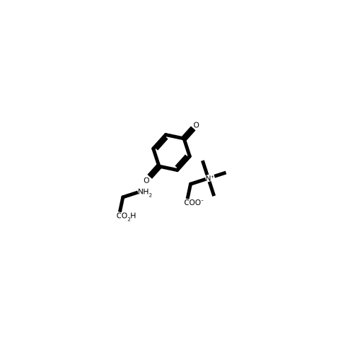 C[N+](C)(C)CC(=O)[O-].NCC(=O)O.O=C1C=CC(=O)C=C1